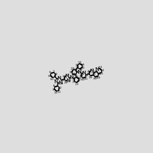 c1ccc(-c2nc(-c3ccccc3)nc(-c3cnc(-n4c5ccccc5c5c4ccc4c6ccccc6n(-c6cccc(-c7cnc8c(ccc9cccnc98)c7)n6)c45)nc3)n2)cc1